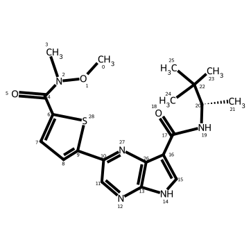 CON(C)C(=O)c1ccc(-c2cnc3[nH]cc(C(=O)N[C@@H](C)C(C)(C)C)c3n2)s1